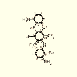 Nc1cccc(Oc2cc(F)c(C(F)(F)F)c(Oc3cccc(N)c3F)c2C(F)(F)F)c1F